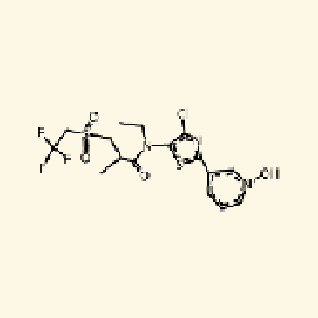 CCN(C(=O)C(C)CS(=O)(=O)CC(F)(F)F)c1sc(-c2ccc[n+](O)c2)nc1Cl